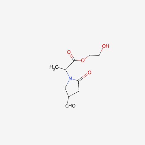 CC(C(=O)OCCO)N1CC(C=O)CC1=O